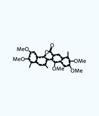 COc1cc2c(OC)c3c(cc2c(C)c1OC)c(=O)oc1c2cc(OC)c(OC)c(C)c2cc(C)c13